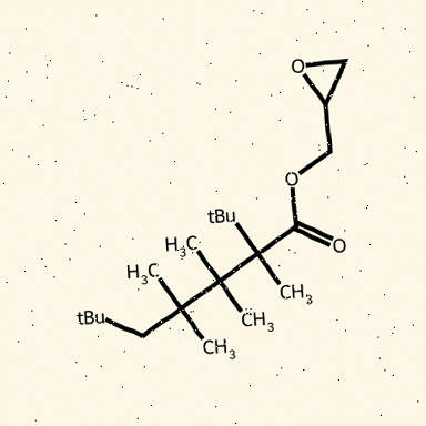 CC(C)(C)CC(C)(C)C(C)(C)C(C)(C(=O)OCC1CO1)C(C)(C)C